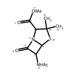 COC(=O)C1N2C(=O)C(NC(C)=O)C2SC1(C)C